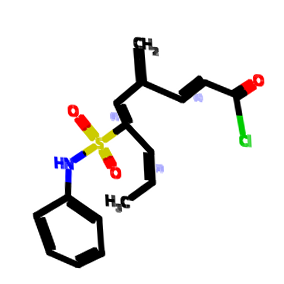 C=C(/C=C/C(=O)Cl)/C=C(\C=C/C)S(=O)(=O)Nc1ccccc1